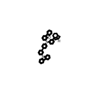 c1cc(-c2ccc(N(c3cccc(C45CCCC6C[C@@H](C4)C65)c3)c3cccc4c3oc3ccccc34)cc2)cc(-n2c3ccccc3c3ccccc32)c1